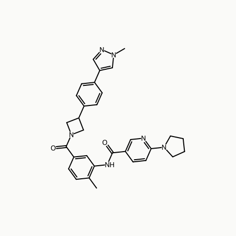 Cc1ccc(C(=O)N2CC(c3ccc(-c4cnn(C)c4)cc3)C2)cc1NC(=O)c1ccc(N2CCCC2)nc1